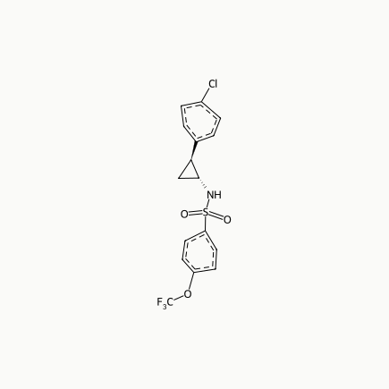 O=S(=O)(N[C@@H]1C[C@H]1c1ccc(Cl)cc1)c1ccc(OC(F)(F)F)cc1